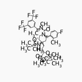 COC(=O)C(=CC[C@@]1(N[S@+]([O-])C(C)(C)C)CCN(C(=O)N(C)[C@H](C)c2cc(C(F)(F)F)cc(C(F)(F)F)c2)[C@@H](c2ccc(F)cc2C)C1)O[Si](C)(C)C(C)(C)C